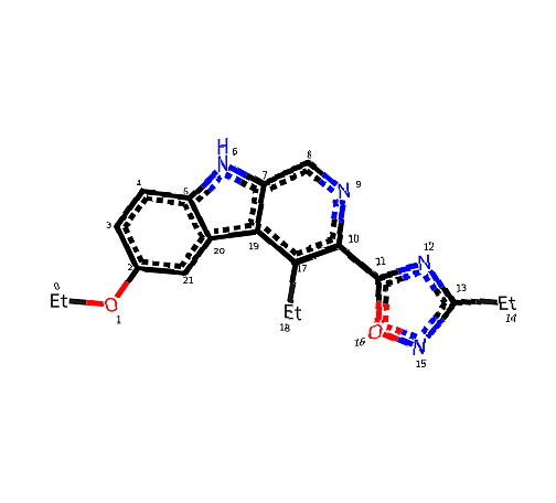 CCOc1ccc2[nH]c3cnc(-c4nc(CC)no4)c(CC)c3c2c1